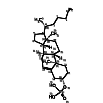 CC(C)CCC[C@@H](C)C1CC[C@H]2[C@@H]3CC=C4C[C@@H](OP(=O)(O)O)CC[C@]4(C)[C@H]3CC[C@]12C